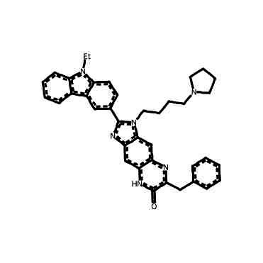 CCn1c2ccccc2c2cc(-c3nc4cc5[nH]c(=O)c(Cc6ccccc6)nc5cc4n3CCCCN3CCCC3)ccc21